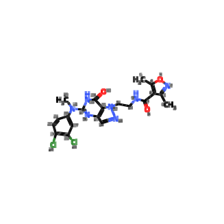 Cc1noc(C)c1C(=O)NCCn1ncc2nc(N(C)c3ccc(Cl)c(Cl)c3)[nH]c(=O)c21